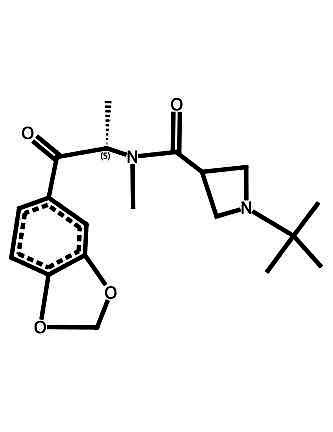 C[C@@H](C(=O)c1ccc2c(c1)OCO2)N(C)C(=O)C1CN(C(C)(C)C)C1